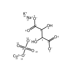 O=C([O-])C(O)C(O)C(=O)[O-].O=S(=O)([O-])[O-].[Cu+2].[K+].[Na+]